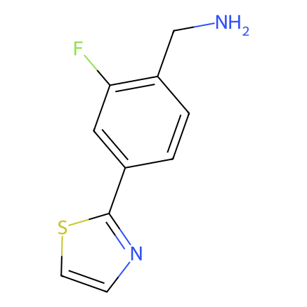 NCc1ccc(-c2nccs2)cc1F